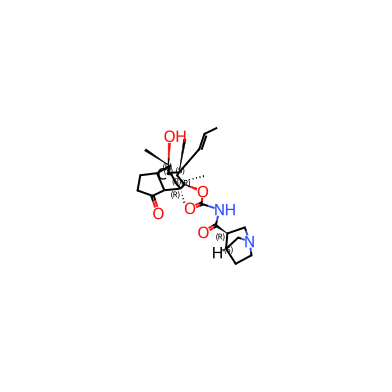 CC=C[C@]1(C)C[C@@H](OC(=O)NC(=O)[C@H]2CN3CC[C@@H]2C3)[C@@]2(C)C3C(=O)CCC3(CC[C@H]2C)[C@@H](C)[C@@H]1O